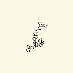 c1ccc(-c2cc(-c3cccc4oc5ccc(-c6ccc7sc8ccc(-c9ccc%10c(c9)c9ccccc9n%10-c9ccccc9)cc8c7c6)cc5c34)nc(-c3ccc4c(c3)oc3ccccc34)n2)cc1